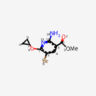 COC(=O)c1cc(Br)c(OC2CC2)nc1N